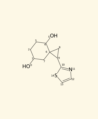 OC1CCC(O)C2(C1)CC2c1nccs1